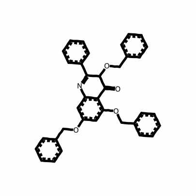 O=C1c2c(cc(OCc3ccccc3)cc2OCc2ccccc2)N=C(c2ccccc2)C1OCc1ccccc1